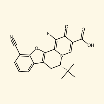 CC(C)(C)[C@@H]1Cc2c(oc3c(C#N)cccc23)-c2c(F)c(=O)c(C(=O)O)cn21